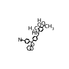 CC(=O)c1ccc(NCc2ccc(C(OC3CCCCO3)c3ccc(C#N)cc3)cc2)c(C)c1O